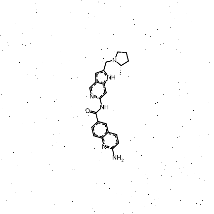 C[C@H]1CCCN1Cc1cc2cnc(NC(=O)c3ccc4nc(N)ccc4c3)cc2[nH]1